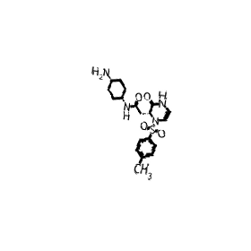 Cc1ccc(S(=O)(=O)N2C=CNC(=O)[C@H]2CC(=O)N[C@H]2CC[C@@H](N)CC2)cc1